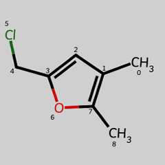 Cc1cc(CCl)oc1C